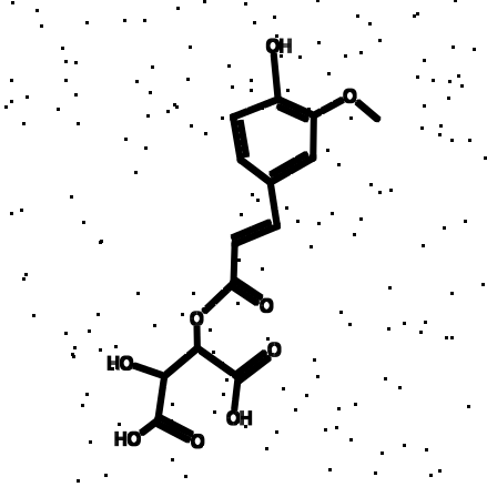 COc1cc(/C=C/C(=O)OC(C(=O)O)C(O)C(=O)O)ccc1O